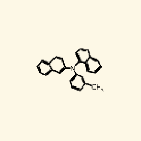 Cc1cccc(N(c2ccc3ccccc3c2)c2cccc3ccccc23)c1